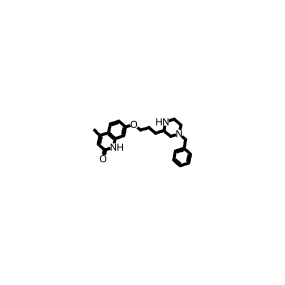 Cc1cc(=O)[nH]c2cc(OCCCC3CN(Cc4ccccc4)CCN3)ccc12